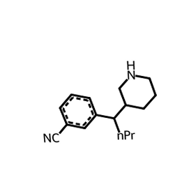 CCCC(c1cccc(C#N)c1)C1CCCNC1